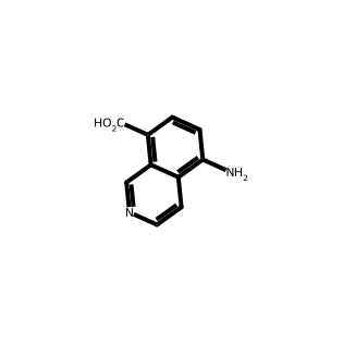 Nc1ccc(C(=O)O)c2cnccc12